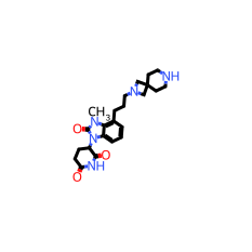 Cn1c(=O)n(C2CCC(=O)NC2=O)c2cccc(CCCN3CC4(CCNCC4)C3)c21